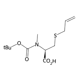 C=CCSC[C@@H](C(=O)O)N(C)C(=O)OC(C)(C)C